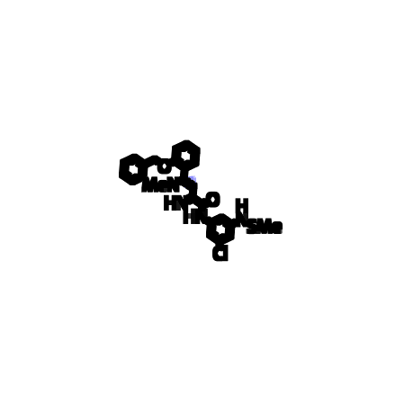 CN/C(=C\C(=N)C(=O)Nc1cc(Cl)cc(NSC)c1)c1ccccc1OCc1ccccc1